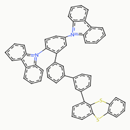 c1cc(-c2cccc(-c3cccc4c3Sc3ccccc3S4)c2)cc(-c2cc(-n3c4ccccc4c4ccccc43)ccc2-n2c3ccccc3c3ccccc32)c1